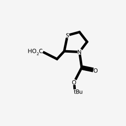 CC(C)(C)OC(=O)N1CCSC1CC(=O)O